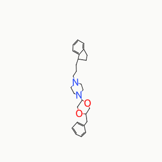 c1ccc(CC2COC(N3CCN(CCCC4CCc5ccccc54)CC3)CO2)cc1